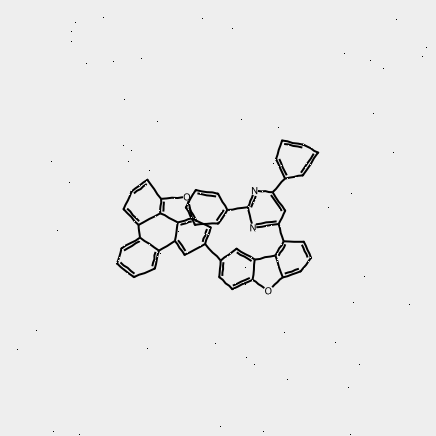 c1ccc(-c2cc(-c3cccc4oc5ccc(-c6cc7oc8cccc9c%10ccccc%10c(c6)c7c89)cc5c34)nc(-c3ccccc3)n2)cc1